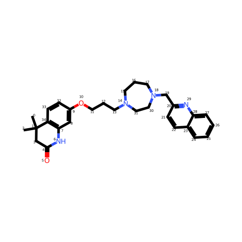 CC1(C)CC(=O)Nc2cc(OCCCN3CCCN(Cc4ccc5ccccc5n4)CC3)ccc21